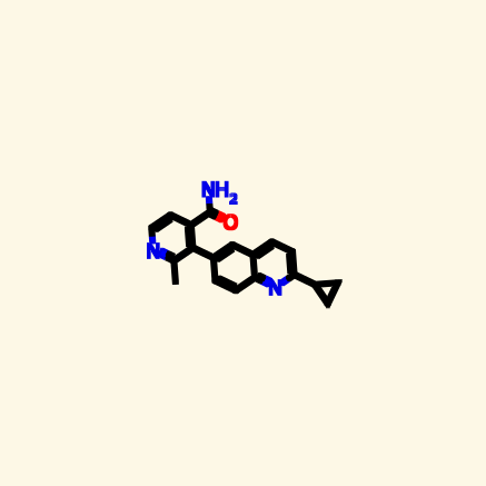 Cc1nccc(C(N)=O)c1-c1ccc2nc(C3CC3)ccc2c1